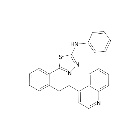 c1ccc(Nc2nnc(-c3ccccc3CCc3ccnc4ccccc34)s2)cc1